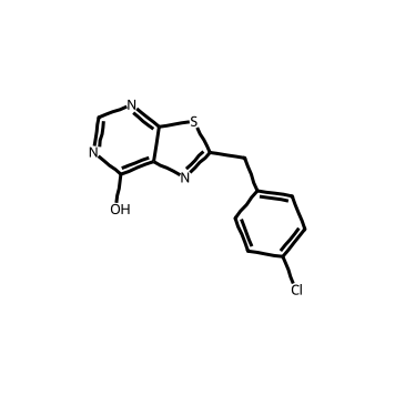 Oc1ncnc2sc(Cc3ccc(Cl)cc3)nc12